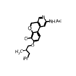 CC(=O)Nc1cc2c(cn1)COc1c-2ccc(OC[C@H](C)CC(C)C)c1Cl